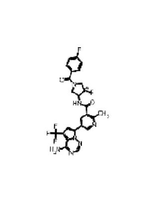 Cc1ncc(-c2cc(C(F)(F)F)c3c(N)ncnn23)cc1C(=O)NC1CN(C(=O)c2ccc(F)cc2)C[C@H]1F